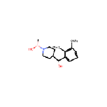 COc1cccc([C@H](O)C2CCN(B(C)O)CC2)c1OC